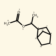 CC(=O)OC(C)C1CC2CCC1C2